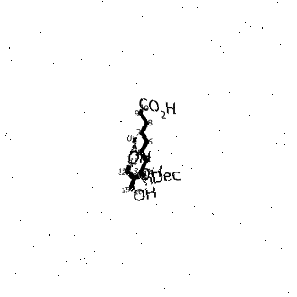 CC(C)=O.CCCCCCCCCCCCCCCCCC(=O)O.OCC(O)CO